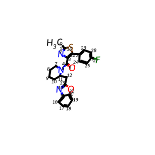 Cc1nc(C(=O)N2CCCCC2Cc2nc3ccccc3o2)c(-c2ccc(F)cc2)s1